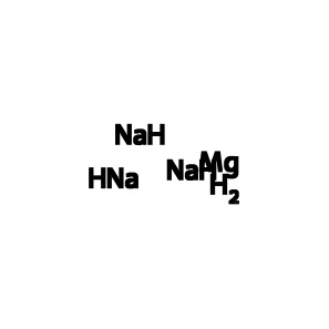 [MgH2].[NaH].[NaH].[NaH]